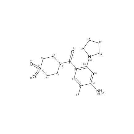 Cc1cc(C(=O)N2CCS(=O)(=O)CC2)c(N2CCCC2)cc1N